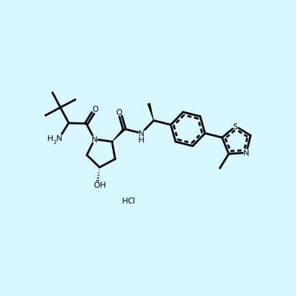 Cc1ncsc1-c1ccc([C@H](C)NC(=O)[C@H]2C[C@H](O)CN2C(=O)C(N)C(C)(C)C)cc1.Cl